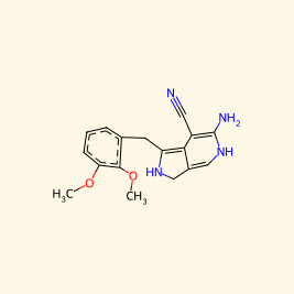 COc1cccc(CC2=C3C(=CNC(N)=C3C#N)CN2)c1OC